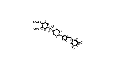 COc1ccc(S(=O)(=O)C2CCN(c3nc(Cc4cc(Cl)cc(Cl)c4)cs3)CC2)cc1OC